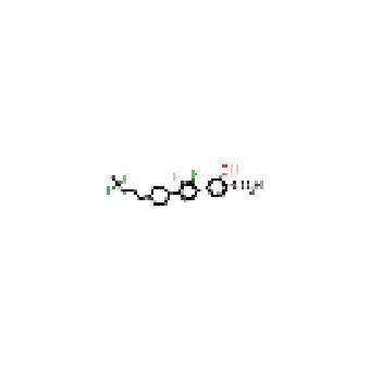 CC(F)(F)CCCC1CCC(c2ccc(-c3ccc(C(=O)O)c(O)c3)c(F)c2F)CC1